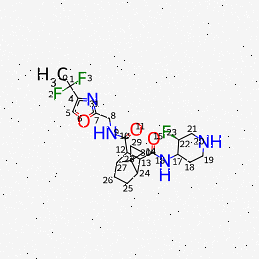 CC(F)(F)c1coc(CNC(=O)C2C(C(=O)NC3CCNC[C@@H]3F)C3CCC2C32CC2)n1